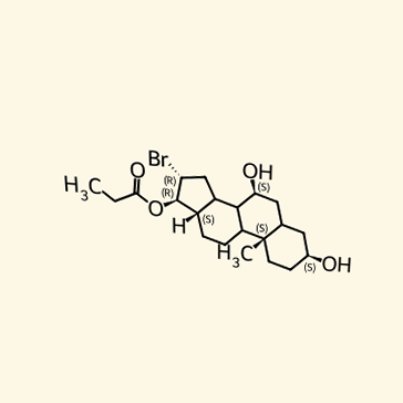 CCC(=O)O[C@H]1[C@H](Br)CC2C3C(CC[C@@H]21)[C@@]1(C)CC[C@H](O)CC1C[C@@H]3O